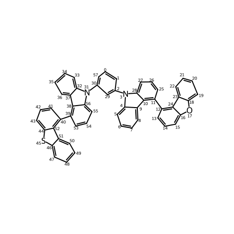 c1cc(-n2c3ccccc3c3c(-c4cccc5oc6ccccc6c45)cccc32)cc(-n2c3ccccc3c3c(-c4cccc5sc6ccccc6c45)cccc32)c1